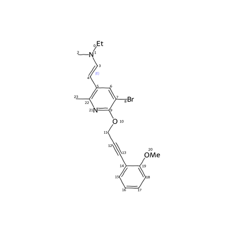 CCN(C)/C=C/c1cc(Br)c(OCC#Cc2ccccc2OC)nc1C